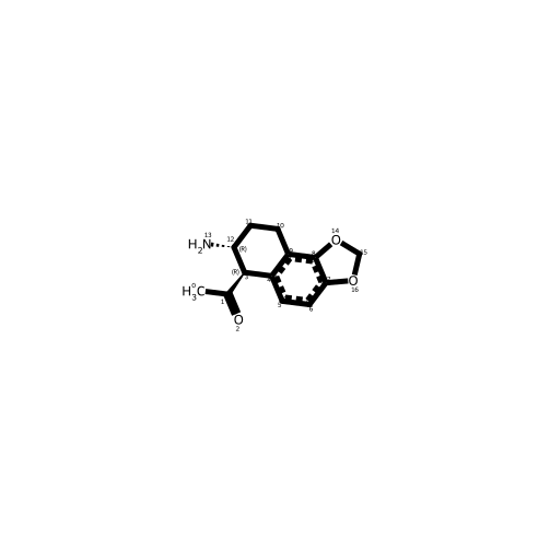 CC(=O)[C@@H]1c2ccc3c(c2CC[C@H]1N)OCO3